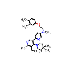 Cc1ccc(OCCN(C)c2ccc(-c3cnc(C)c(CC(=O)O)c3N3CCC(C)(C)CC3)nc2)cc1C